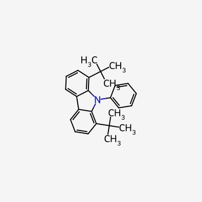 CC(C)(C)c1cccc2c3cccc(C(C)(C)C)c3n(-c3ccccc3)c12